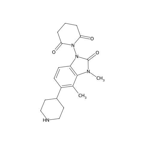 Cc1c(C2CCNCC2)ccc2c1n(C)c(=O)n2N1C(=O)CCCC1=O